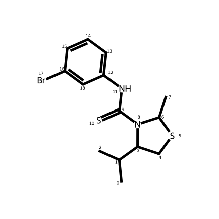 CC(C)C1CSC(C)N1C(=S)Nc1cccc(Br)c1